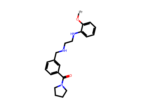 CC(C)Oc1ccccc1NCCNCc1cccc(C(=O)N2CCCC2)c1